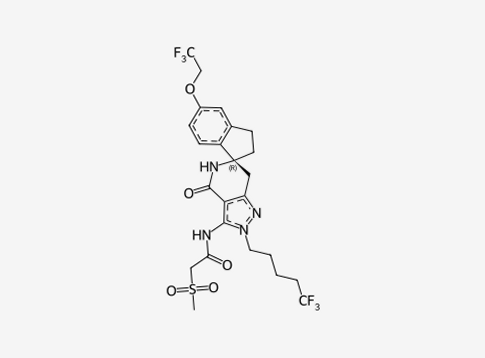 CS(=O)(=O)CC(=O)Nc1c2c(nn1CCCCC(F)(F)F)C[C@@]1(CCc3cc(OCC(F)(F)F)ccc31)NC2=O